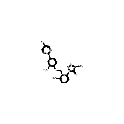 Cc1cc(-c2ncc(Br)cn2)ccc1OCc1c(C)cccc1-n1nnn(C)c1=O